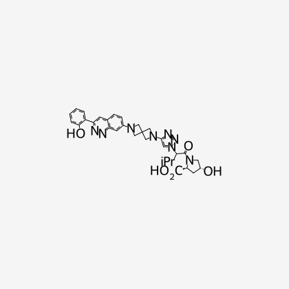 CC(C)C(C(=O)N1C[C@H](O)C[C@H]1C(=O)O)n1cc(N2CC3(CN(c4ccc5cc(-c6ccccc6O)nnc5c4)C3)C2)nn1